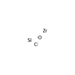 [C].[O].[Si].[Zr]